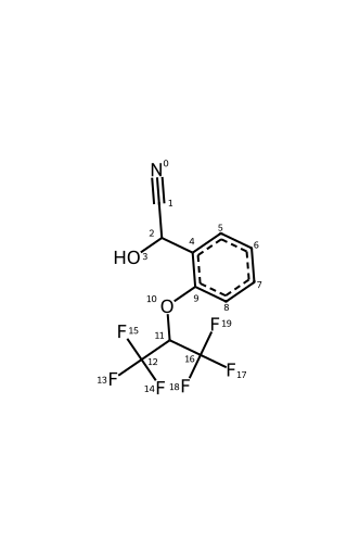 N#CC(O)c1ccccc1OC(C(F)(F)F)C(F)(F)F